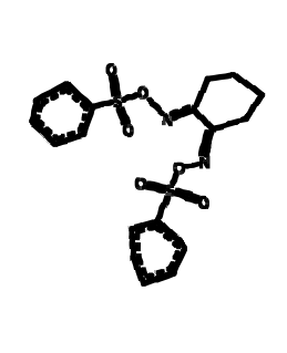 O=S(=O)(O/N=C1/CCCC/C1=N\OS(=O)(=O)c1ccccc1)c1ccccc1